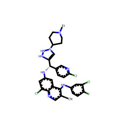 CCN1CCC(N2C=C([C@@H](Nc3cc(Cl)c4ncc(C#N)c(Nc5ccc(F)c(Cl)c5)c4c3)c3ccc(Cl)nc3)NN2)CC1